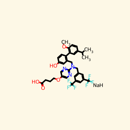 COc1ccc(C(C)C)cc1-c1ccc(O)cc1CN(Cc1cc(C(F)(F)F)cc(C(F)(F)F)c1)c1ncc(OCCCC(=O)O)cn1.[NaH]